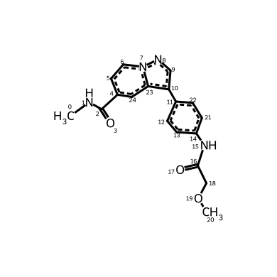 CNC(=O)c1ccn2ncc(-c3ccc(NC(=O)COC)cc3)c2c1